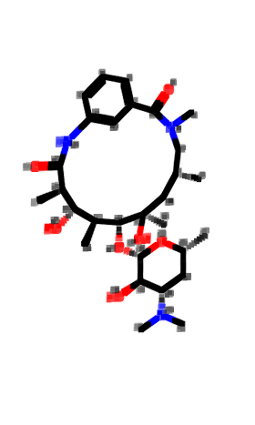 C[C@H]1CN(C)C(=O)c2cccc(c2)NC(=O)[C@H](C)[C@@H](O)[C@H](C)[C@@H](O[C@@H]2O[C@H](C)C[C@H](N(C)C)[C@H]2O)[C@](C)(O)C1